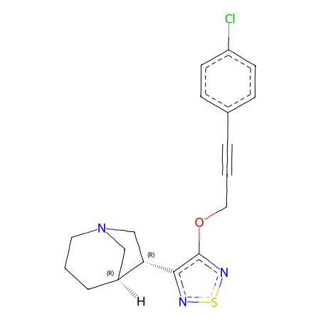 Clc1ccc(C#CCOc2nsnc2[C@H]2CN3CCC[C@H]2C3)cc1